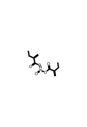 C=C(CC)C(=O)O[PH](=O)OC(=O)C(=C)CC